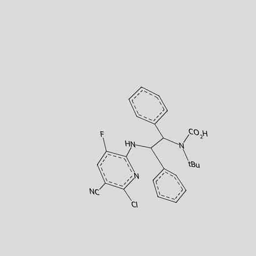 CC(C)(C)N(C(=O)O)C(c1ccccc1)C(Nc1nc(Cl)c(C#N)cc1F)c1ccccc1